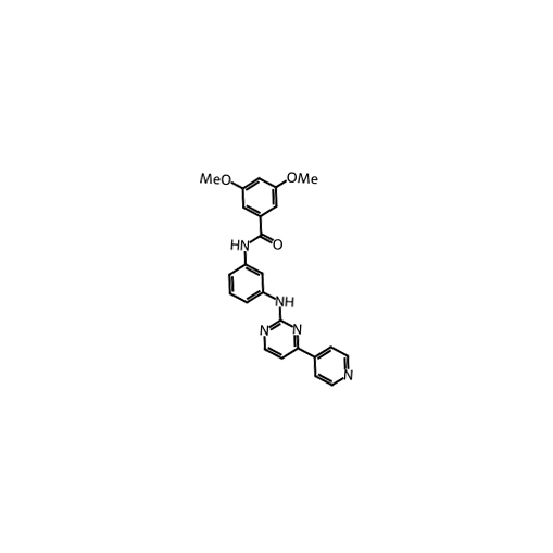 COc1cc(OC)cc(C(=O)Nc2cccc(Nc3nccc(-c4ccncc4)n3)c2)c1